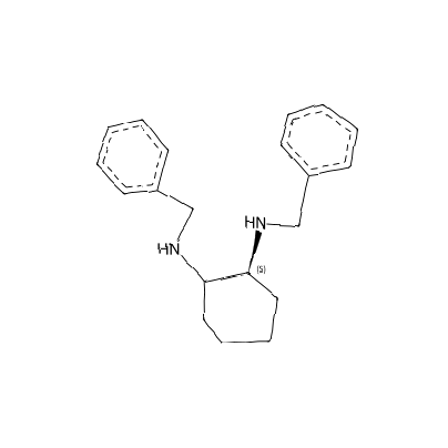 c1ccc(CNC2CCCC[C@@H]2NCc2ccccc2)cc1